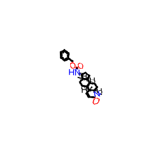 CN1C(=O)C=C[C@]2(C)[C@H]3CC[C@]4(C)[C@@H](NC(=O)OCc5ccccc5)CC[C@H]4[C@@H]3CC[C@@H]12